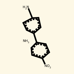 N.Nc1ccc(-c2ccc([N+](=O)[O-])cc2)cc1